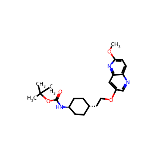 COc1ccc2ncc(OCC[C@H]3CC[C@H](NC(=O)OC(C)(C)C)CC3)cc2n1